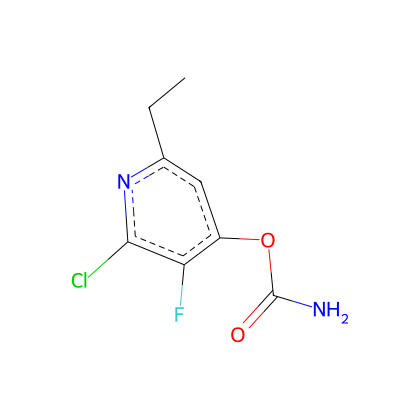 CCc1cc(OC(N)=O)c(F)c(Cl)n1